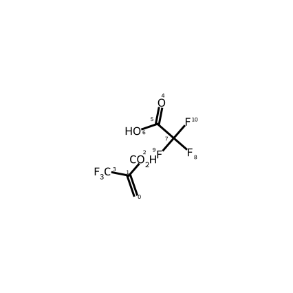 C=C(C(=O)O)C(F)(F)F.O=C(O)C(F)(F)F